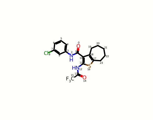 O=C(Nc1cccc(Cl)c1)c1c(NC(=O)C(F)(F)F)sc2c1CCCCC2